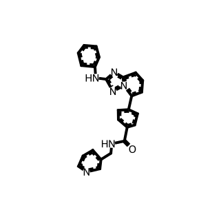 O=C(NCc1cccnc1)c1ccc(-c2cccc3nc(Nc4ccccc4)nn23)cc1